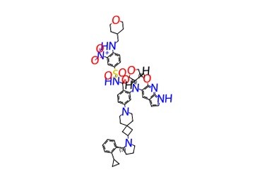 O=C(NS(=O)(=O)c1ccc(NCC2CCOCC2)c([N+](=O)[O-])c1)c1ccc(N2CCC3(CC2)CC(N2CCC[C@H]2c2ccccc2C2CC2)C3)cc1N1c2cc3cc[nH]c3nc2O[C@H]2COC[C@H]21